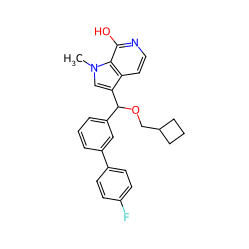 Cn1cc(C(OCC2CCC2)c2cccc(-c3ccc(F)cc3)c2)c2ccnc(O)c21